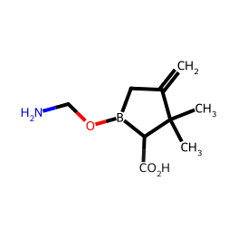 C=C1CB(OCN)C(C(=O)O)C1(C)C